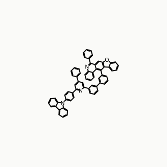 c1ccc(-c2cc(-c3ccc(-n4c5ccccc5c5ccccc54)cc3)nc(-c3cccc(-c4cccc(-c5c6c(cc7c(-c8ccccc8)nc8ccccc8c57)oc5ccccc56)c4)c3)c2)cc1